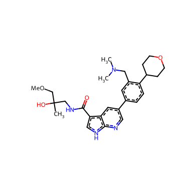 COCC(C)(O)CNC(=O)c1c[nH]c2ncc(-c3ccc(C4CCOCC4)c(CN(C)C)c3)cc12